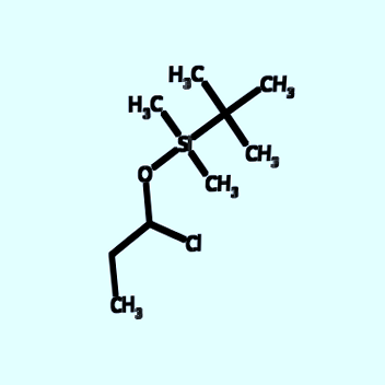 CCC(Cl)O[Si](C)(C)C(C)(C)C